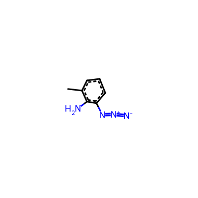 Cc1cccc(N=[N+]=[N-])c1N